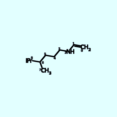 C=CNCCCC(C)C(C)C